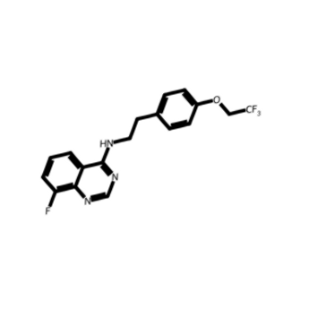 Fc1cccc2c(NCCc3ccc(OCC(F)(F)F)cc3)ncnc12